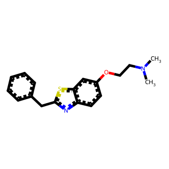 CN(C)CCOc1ccc2nc(Cc3ccccc3)sc2c1